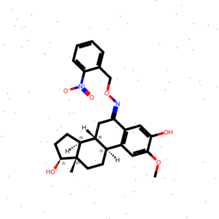 COc1cc2c(cc1O)C(=NOCc1ccccc1[N+](=O)[O-])C[C@@H]1[C@@H]2CC[C@]2(C)[C@@H](O)CC[C@@H]12